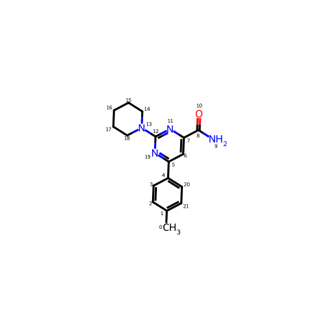 Cc1ccc(-c2cc(C(N)=O)nc(N3CCCCC3)n2)cc1